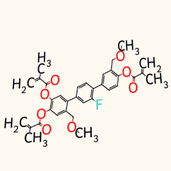 C=C(C)C(=O)Oc1ccc(-c2ccc(-c3cc(OC(=O)C(=C)C)c(OC(=O)C(=C)C)cc3COC)cc2F)cc1COC